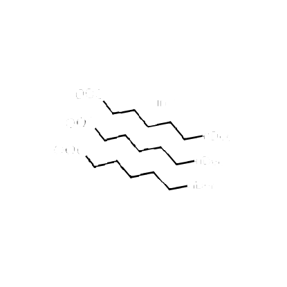 CCCCCCCCCCCCCCCC(=O)[O-].CCCCCCCCCCCCCCCC(=O)[O-].CCCCCCCCCCCCCCCC(=O)[O-].[In+3]